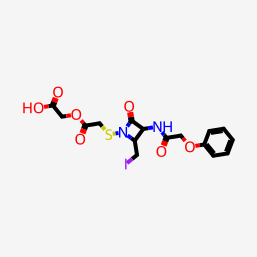 O=C(O)COC(=O)CSN1C(=O)C(NC(=O)COc2ccccc2)C1CI